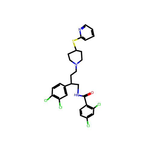 O=C(NCC(CCN1CCC(Sc2ccccn2)CC1)c1ccc(Cl)c(Cl)c1)c1ccc(Cl)cc1Cl